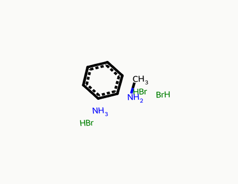 Br.Br.Br.CN.N.c1ccccc1